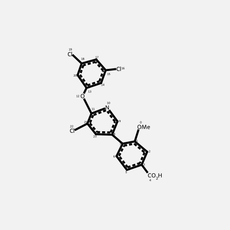 COc1cc(C(=O)O)ccc1-c1cnc(Oc2cc(Cl)cc(Cl)c2)c(Cl)c1